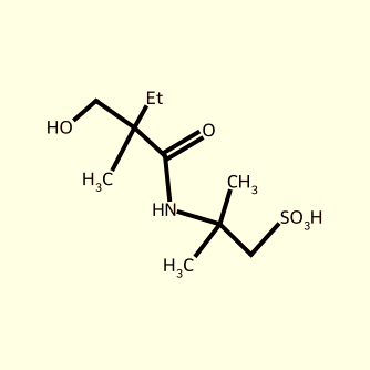 CCC(C)(CO)C(=O)NC(C)(C)CS(=O)(=O)O